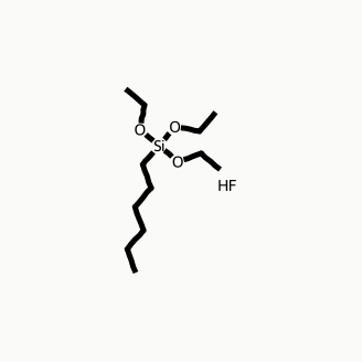 CCCCCC[Si](OCC)(OCC)OCC.F